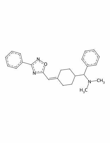 CN(C)C(c1ccccc1)C1CCC(=Cc2nc(-c3ccccc3)no2)CC1